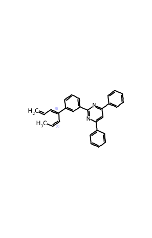 C=C/C=C(\C=C/C)c1cccc(-c2nc(-c3ccccc3)cc(-c3ccccc3)n2)c1